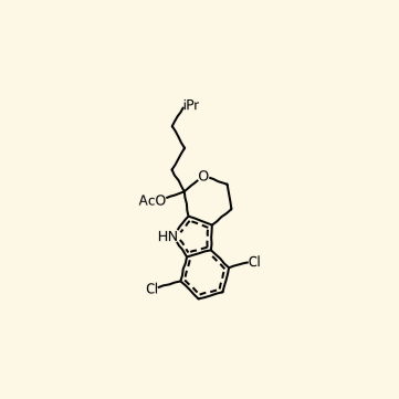 CC(=O)OC1(CCCC(C)C)OCCc2c1[nH]c1c(Cl)ccc(Cl)c21